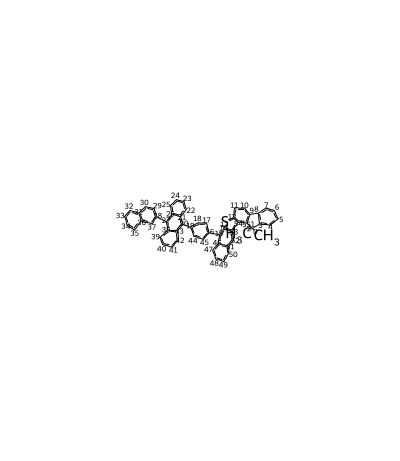 CC1(C)c2ccccc2-c2ccc3sc4c(-c5ccc(-c6c7ccccc7c(-c7ccc8ccccc8c7)c7ccccc67)cc5)c5ccccc5cc4c3c21